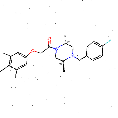 Cc1cc(OCC(=O)N2C[C@H](C)N(Cc3ccc(F)cc3)C[C@H]2C)cc(C)c1C